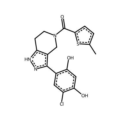 Cc1ccc(C(=O)N2CCc3[nH]nc(-c4cc(Cl)c(O)cc4O)c3C2)s1